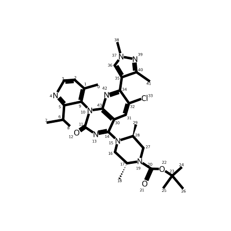 Cc1ccnc(C(C)C)c1-n1c(=O)nc(N2C[C@@H](C)N(C(=O)OC(C)(C)C)C[C@@H]2C)c2cc(Cl)c(-c3cn(C)nc3C)nc21